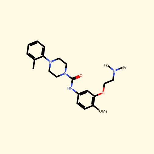 COc1ccc(NC(=O)N2CCN(c3ccccc3C)CC2)cc1OCCN(C(C)C)C(C)C